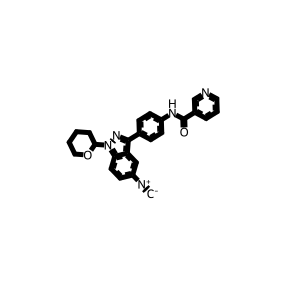 [C-]#[N+]c1ccc2c(c1)c(-c1ccc(NC(=O)c3cccnc3)cc1)nn2C1CCCCO1